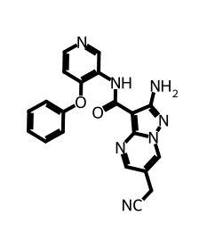 N#CCc1cnc2c(C(=O)Nc3cnccc3Oc3ccccc3)c(N)nn2c1